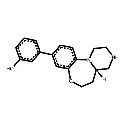 Oc1cccc(-c2ccc3c(c2)OCC[C@H]2CNCCN32)c1